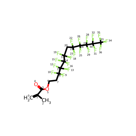 C=C(C)C(=O)OCCC(F)(F)C(F)(F)C(F)(F)C(F)(F)CC(F)(F)C(F)(F)C(F)(F)C(F)(F)C(F)(F)F